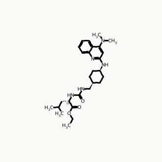 CCOC(=O)[C@H](CC(C)C)NC(=O)NC[C@H]1CC[C@@H](Nc2cc(N(C)C)c3ccccc3n2)CC1